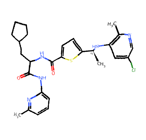 Cc1cccc(NC(=O)C(CC2CCCC2)NC(=O)c2ccc([C@H](C)Nc3cc(Cl)cnc3C)s2)n1